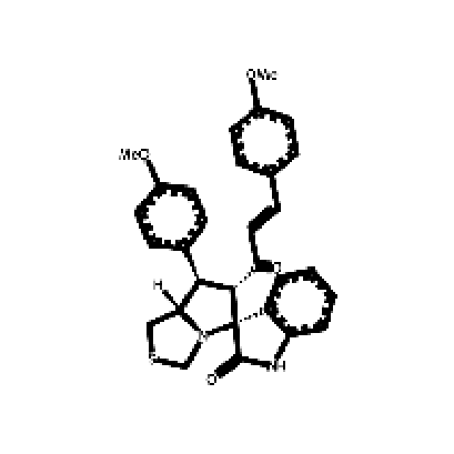 COc1ccc(/C=C/C(=O)[C@H]2[C@H](c3ccc(OC)cc3)[C@H]3CSCN3[C@]23C(=O)Nc2ccccc23)cc1